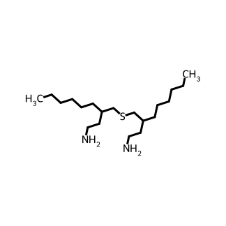 CCCCCCC(CCN)CSCC(CCN)CCCCCC